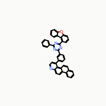 c1ccc(-c2nc(-c3cccc(-c4ccnc5ccc6c7ccccc7ccc6c45)c3)nc(-c3cccc4oc5ccccc5c34)n2)cc1